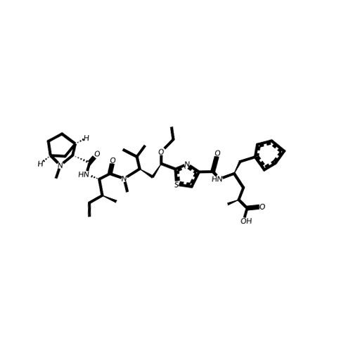 CCO[C@H](C[C@H](C(C)C)N(C)C(=O)[C@@H](NC(=O)[C@H]1[C@@H]2CC[C@@H](C2)N1C)[C@@H](C)CC)c1nc(C(=O)N[C@@H](Cc2ccccc2)C[C@H](C)C(=O)O)cs1